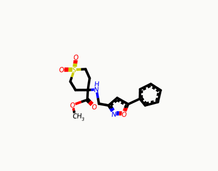 COC(=O)C1(NCc2cc(-c3ccccc3)on2)CCS(=O)(=O)CC1